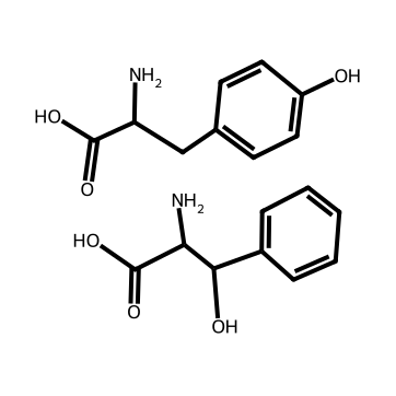 NC(C(=O)O)C(O)c1ccccc1.NC(Cc1ccc(O)cc1)C(=O)O